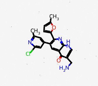 Cc1cc(-c2cc3c(=O)c(CN)c[nH]c3nc2-c2ccc(C)o2)cc(Cl)n1